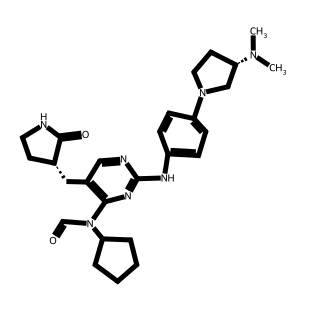 CN(C)[C@H]1CCN(c2ccc(Nc3ncc(C[C@@H]4CCNC4=O)c(N(C=O)C4CCCC4)n3)cc2)C1